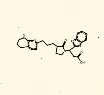 O=C(O)CC(c1nc2ccccc2o1)N1CCC(CCCc2ccc3c(n2)NCCC3)C1=O